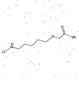 CCNCCCCCOCC(=O)C(C)C